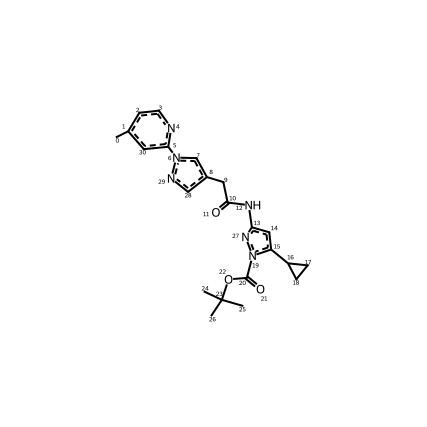 Cc1ccnc(-n2cc(CC(=O)Nc3cc(C4CC4)n(C(=O)OC(C)(C)C)n3)cn2)c1